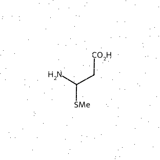 CSC(N)CC(=O)O